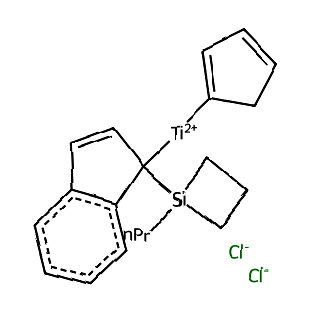 CCC[Si]1([C]2([Ti+2][C]3=CC=CC3)C=Cc3ccccc32)CCC1.[Cl-].[Cl-]